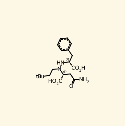 CC(C)(C)CCN(N[C@@H](Cc1ccccc1)C(=O)O)[C@@H](CC(N)=O)C(=O)O